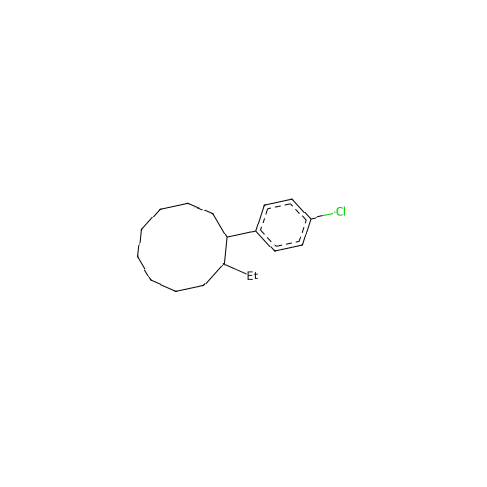 CCC1CCCCCCCCC1c1ccc(Cl)cc1